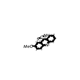 COc1ccc2nc3ccccc3cc2c1.N=C=S